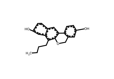 CCCCc1c2c(cc3ccc(O)cc13)-c1ccc(O)cc1CO2